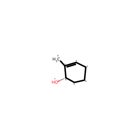 CC1=CCCC[C@@H]1O